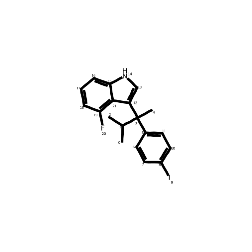 CC(C)C(C)(c1ccc(I)cc1)c1c[nH]c2cccc(F)c12